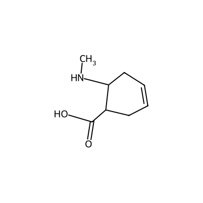 CNC1CC=CCC1C(=O)O